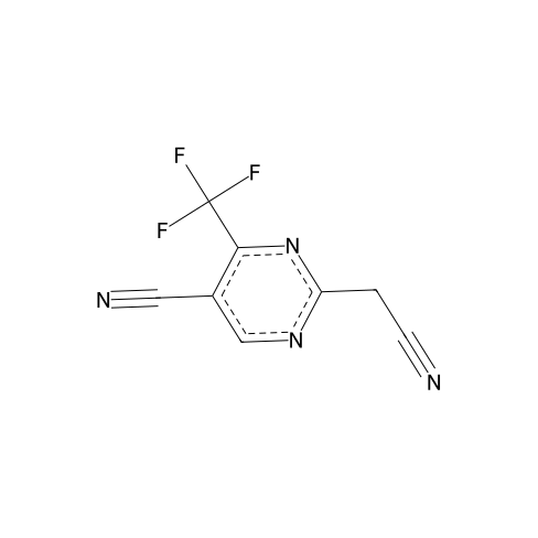 N#CCc1ncc(C#N)c(C(F)(F)F)n1